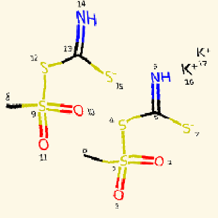 CS(=O)(=O)SC(=N)[S-].CS(=O)(=O)SC(=N)[S-].[K+].[K+]